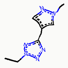 CCn1nnc(-c2cnn(C)c2)n1